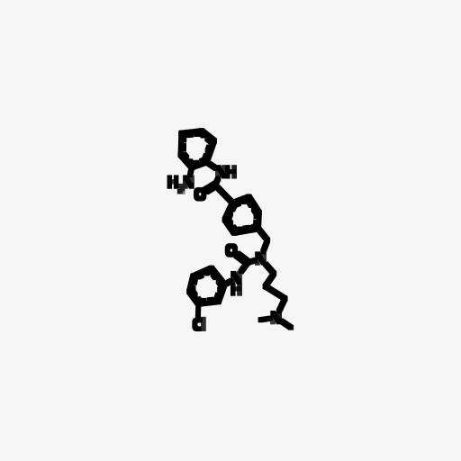 CN(C)CCCN(Cc1ccc(C(=O)Nc2ccccc2N)cc1)C(=O)Nc1cccc(Cl)c1